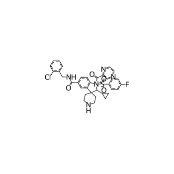 O=C(NCc1ccccc1Cl)c1ccc2c(c1)C1(CCNCC1)C(C1CC1)[N+]2(C(=O)c1cnccn1)S(=O)(=O)c1ccc(F)cc1